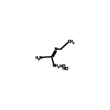 CCN=C(N)N.Cl.Cl